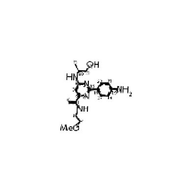 C=C(NCCOC)c1cc(N[C@@H](C)CO)nc(-c2ccc(N)cc2)n1